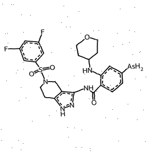 O=C(Nc1n[nH]c2c1CN(S(=O)(=O)c1cc(F)cc(F)c1)CC2)c1ccc([AsH2])cc1NC1CCOCC1